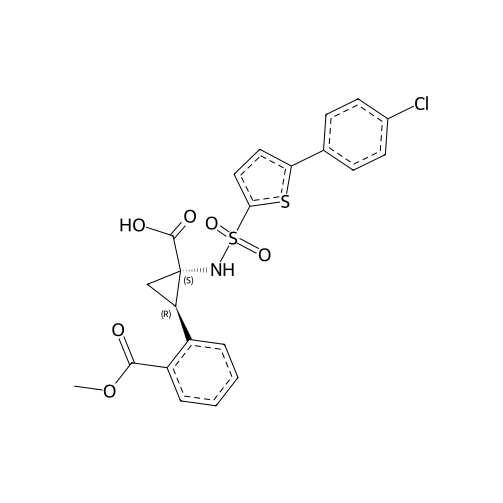 COC(=O)c1ccccc1[C@H]1C[C@@]1(NS(=O)(=O)c1ccc(-c2ccc(Cl)cc2)s1)C(=O)O